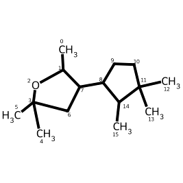 CC1OC(C)(C)CC1C1CCC(C)(C)C1C